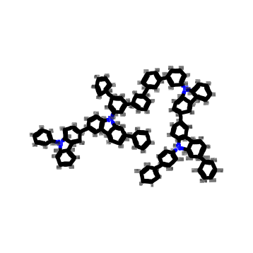 c1ccc(-c2ccc(-n3c4ccc(-c5ccc6c(c5)c5ccccc5n6-c5cccc(-c6cccc(-c7cccc(-c8cc(-c9ccccc9)cc(-n9c%10ccc(-c%11ccc%12c(c%11)c%11ccccc%11n%12-c%11ccccc%11)cc%10c%10ccc(-c%11ccccc%11)cc%109)c8)c7)c6)c5)cc4c4ccc(-c5ccccc5)cc43)cc2)cc1